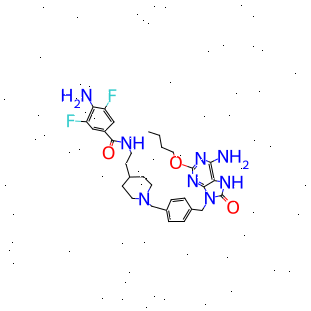 CCCCOc1nc(N)c2[nH]c(=O)n(Cc3ccc(CN4CCC(CCNC(=O)c5cc(F)c(N)c(F)c5)CC4)cc3)c2n1